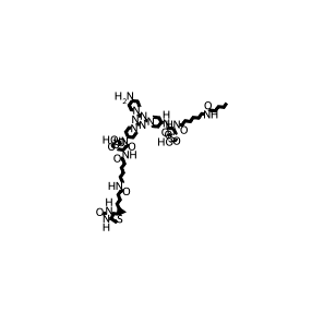 CCCCC(=O)NCCCCCC(=O)NC(CS(=O)(=O)O)C(=O)NC1CCN(c2nc(N3CCC(N)CC3)nc(N3CCC(NC(=O)C(CS(=O)(=O)O)NC(=O)CCCCCNC(=O)CCCC4CC45SCC4NC(=O)NC45)CC3)n2)CC1